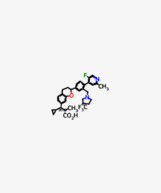 Cc1cc(-c2ccc(C3CCc4ccc([C@H](C5CC5)[C@H](C)C(=O)O)cc4O3)cc2CN2CC[C@H](C(F)(F)F)C2)c(F)cn1